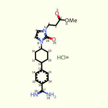 COC(=O)CCn1ccn(C2CCC(c3ccc(C(=N)N)cc3)CC2)c1=O.Cl